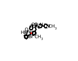 Cc1cc(CC(C(=O)N2CCC(C3CCN(C)CC3)CC2)[C@H]2CC(N3CCc4ccccc4NC3=O)CCN2C(=O)O)cc(C)c1Br